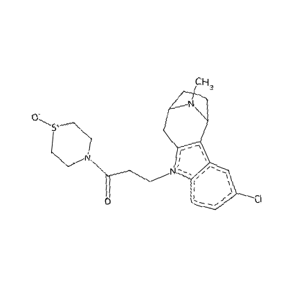 CN1C2CCC1c1c(n(CCC(=O)N3CC[S+]([O-])CC3)c3ccc(Cl)cc13)C2